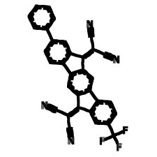 N#CC(C#N)=C1c2cc(-c3ccccc3)ccc2-c2cc3c(cc21)-c1ccc(C(F)(F)F)cc1C3=C(C#N)C#N